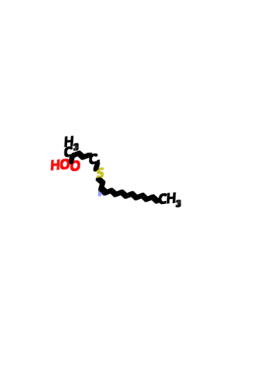 CCCCCCCCCCC/C=C\CCSCC=C=CCCC(C)C(=O)O